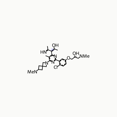 CNC[C@@H](O)COc1ccc(Cl)c(-c2nc(/C(C(C)=N)=C(\C)O)c(C)c(N3CC4(CC(NC)C4)C3)n2)c1